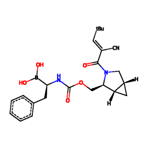 CC(C)(C)/C=C(\C#N)C(=O)N1C[C@@H]2C[C@@H]2[C@H]1COC(=O)N[C@@H](Cc1ccccc1)B(O)O